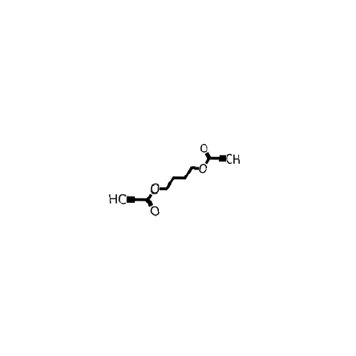 C#CC(=O)OCCCCOC(=O)C#C